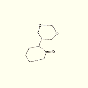 O=C1CCCCC1C1COCOC1